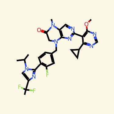 COc1ncnc(C2CC2)c1-c1ncc2c(n1)N(Cc1ccc(-c3nc(C(C)(F)F)cn3C(C)C)c(F)c1)CC(=O)N2C